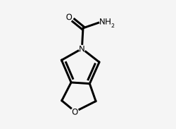 NC(=O)n1cc2c(c1)COC2